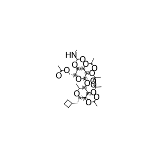 CNC(=O)O[C@H]1[C@H](OC(C)=O)[C@H](OC(C)=O)[C@@H](O[C@@H]2C(C)O[C@@H](CC3CCC3)[C@@H](OC(C)=O)[C@@H]2OC(C)=O)O[C@@H]1COC(C)=O